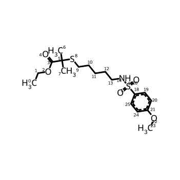 CCOC(=O)C(C)(C)SCCCCCNS(=O)(=O)c1ccc(OC)cc1